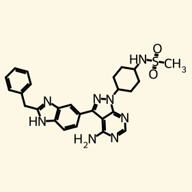 CS(=O)(=O)NC1CCC(n2nc(-c3ccc4[nH]c(Cc5ccccc5)nc4c3)c3c(N)ncnc32)CC1